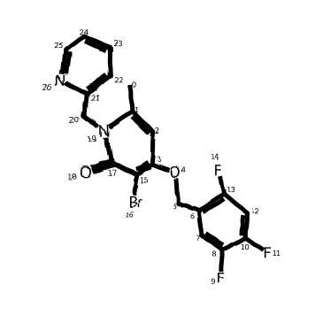 Cc1cc(OCc2cc(F)c(F)cc2F)c(Br)c(=O)n1Cc1ccccn1